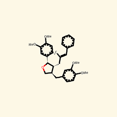 COc1ccc(C[C@H]2CO[C@H](c3ccc(OC)c(OC)c3)[C@@H]2CC(=Cc2ccccc2)C(=O)O)cc1OC